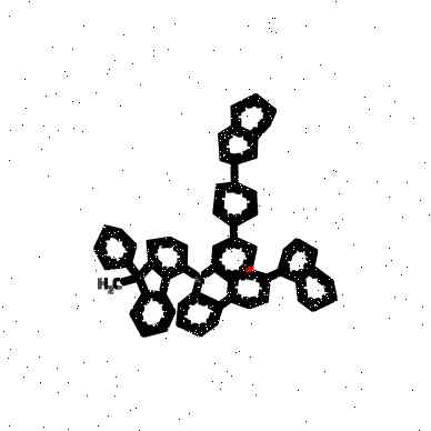 CC1(c2ccccc2)c2ccccc2-c2c(N(c3cccc(-c4ccc(-c5ccc6ccccc6c5)cc4)c3)c3ccccc3-c3ccc(-c4cccc5ccccc45)cc3)cccc21